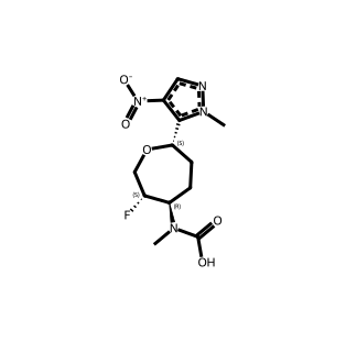 CN(C(=O)O)[C@@H]1CC[C@@H](c2c([N+](=O)[O-])cnn2C)OC[C@H]1F